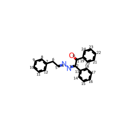 O=C(C(=NN=CCc1ccccc1)c1ccccc1)c1ccccc1